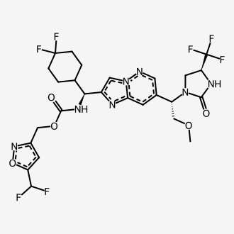 COC[C@H](c1cnn2cc([C@@H](NC(=O)OCc3cc(C(F)F)on3)C3CCC(F)(F)CC3)nc2c1)N1C[C@@H](C(F)(F)F)NC1=O